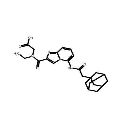 CCN(CC(=O)O)C(=O)c1cn2c(NC(=O)CC34CC5CC(CC(C5)C3)C4)cccc2n1